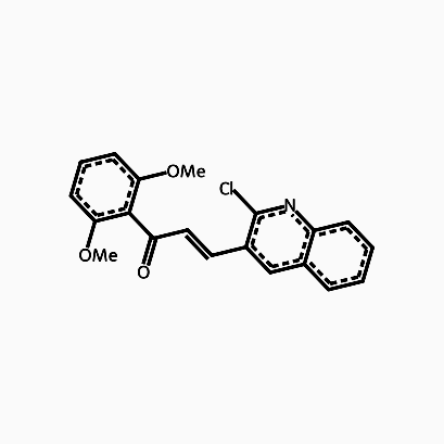 COc1cccc(OC)c1C(=O)/C=C/c1cc2ccccc2nc1Cl